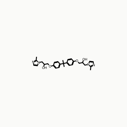 Cc1nccn1CC(O)COc1ccc(C(C)(C)c2ccc(OCC(O)Cn3ccnc3C)cc2)cc1